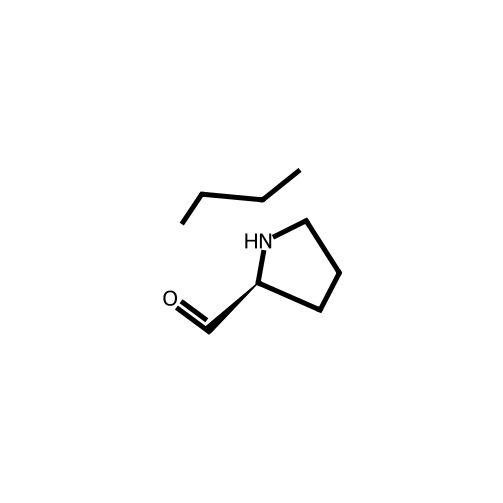 CCCC.O=C[C@@H]1CCCN1